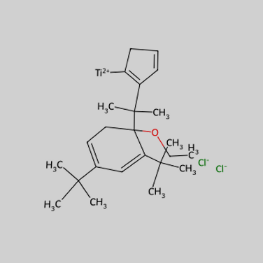 CCOC1(C(C)(C)C2=[C]([Ti+2])CC=C2)CC=C(C(C)(C)C)C=C1C(C)(C)C.[Cl-].[Cl-]